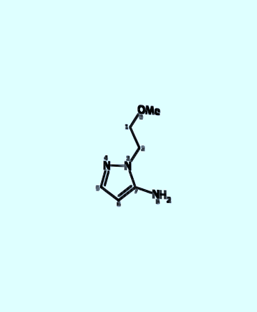 COCCn1nccc1N